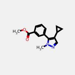 COC(=O)c1cccc(-c2c(C3CC3)cnn2C)c1